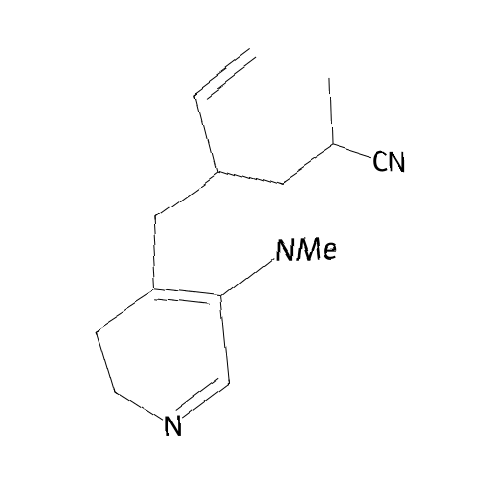 C=CC(CC1=C(NC)C=NCC1)CC(C)C#N